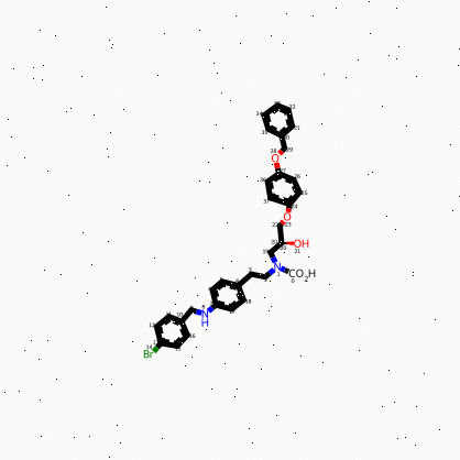 O=C(O)N(CCc1ccc(NCc2ccc(Br)cc2)cc1)C[C@H](O)COc1ccc(OCc2ccccc2)cc1